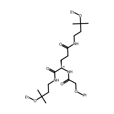 CCOC(C)(C)CCNC(=O)CC[C@@H](NC(=O)COC(C)C)C(=O)NCCC(C)(C)OCC